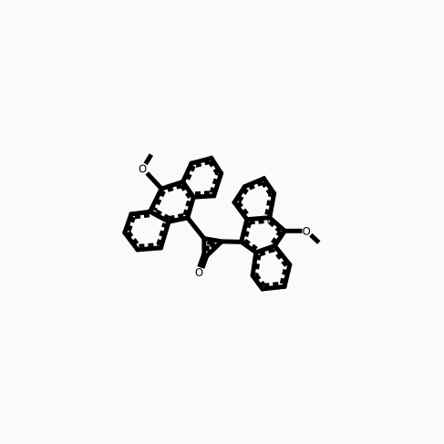 COc1c2ccccc2c(-c2c(-c3c4ccccc4c(OC)c4ccccc34)c2=O)c2ccccc12